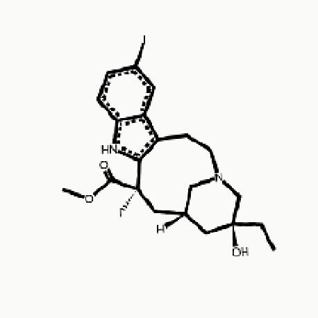 CC[C@]1(O)C[C@H]2CN(CCc3c([nH]c4ccc(I)cc34)[C@](I)(C(=O)OC)C2)C1